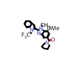 COc1cc(C(=O)N2CCCCC2)cc2nc(-c3cc4ccccc4n3CC(F)(F)F)n(C)c12